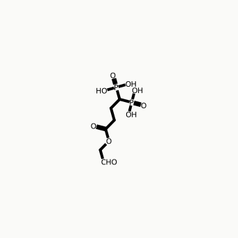 O=CCOC(=O)CCC(P(=O)(O)O)P(=O)(O)O